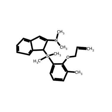 C=CCOc1c(C)cccc1[Si](C)(C)C1C(N(C)C)=Cc2ccccc21